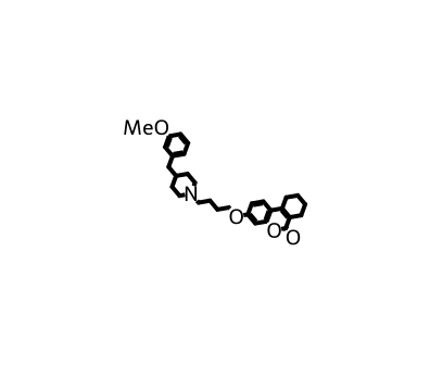 COc1cccc(CC2CCN(CCCCOc3ccc4c5c(c(=O)oc4c3)CCCC5)CC2)c1